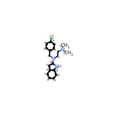 CN(C)CCN(Cc1ccc(Cl)cc1)c1cc2ccccc2[nH]1